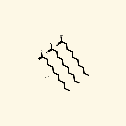 CCCCCCCCCC(=O)[O-].CCCCCCCCCC(=O)[O-].CCCCCCCCCC(=O)[O-].[Cr+3]